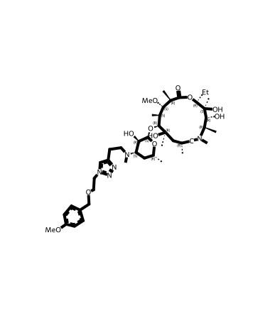 CC[C@H]1OC(=O)[C@H](C)[C@@H](OC)[C@H](C)[C@@H](O[C@@H]2O[C@H](C)C[C@H](N(C)CCc3cn(CCOCc4ccc(OC)cc4)nn3)[C@H]2O)[C@](C)(O)C[C@@H](C)CN(C)[C@H](C)[C@@H](O)[C@]1(C)O